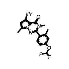 Cc1cc(OC(F)F)ccc1-c1nn2c(C)cc(C(C)C)c2c(=O)n1C